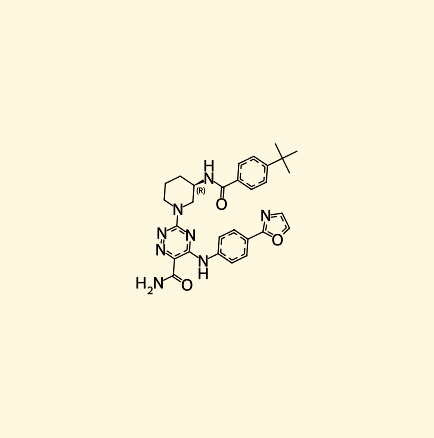 CC(C)(C)c1ccc(C(=O)N[C@@H]2CCCN(c3nnc(C(N)=O)c(Nc4ccc(-c5ncco5)cc4)n3)C2)cc1